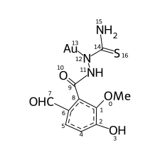 COc1c(O)ccc(C=O)c1C(=O)N[N]([Au])C(N)=S